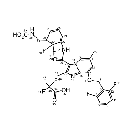 Cc1cc(OCc2c(F)cccc2F)c2nc(C)c(C(=O)NC3=CC=CC(CNC(=O)O)C3(F)F)n2c1.O=C(O)C(F)(F)F